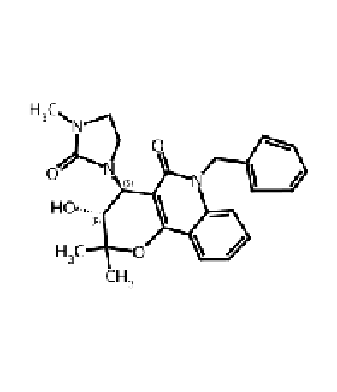 CN1CCN([C@H]2c3c(c4ccccc4n(Cc4ccccc4)c3=O)OC(C)(C)[C@@H]2O)C1=O